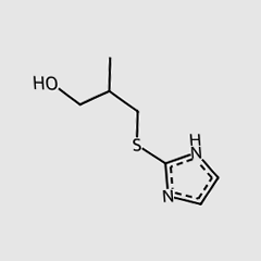 CC(CO)CSc1ncc[nH]1